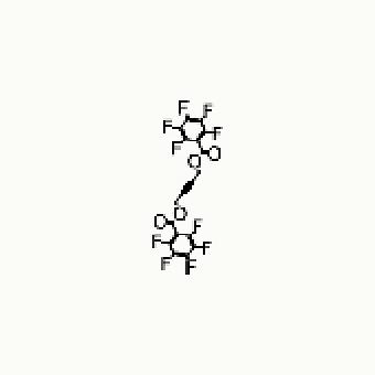 O=C(OCC#CCOC(=O)c1c(F)c(F)c(F)c(F)c1F)c1c(F)c(F)c(F)c(F)c1F